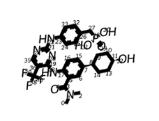 CN(C)C(=O)c1cc([C@H]2CC[C@H](O)CC2)ccc1Nc1nc(Nc2ccc(CP(=O)(O)O)cc2)ncc1C(F)(F)F